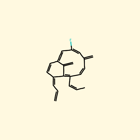 C=C/C=c1/ccc2cc(F)cc(=C)ccc(/C=C\C)c1c2=C